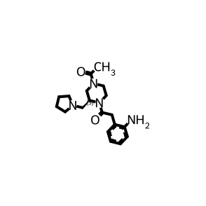 CC(=O)N1CCN(C(=O)Cc2ccccc2N)[C@@H](CN2CCCC2)C1